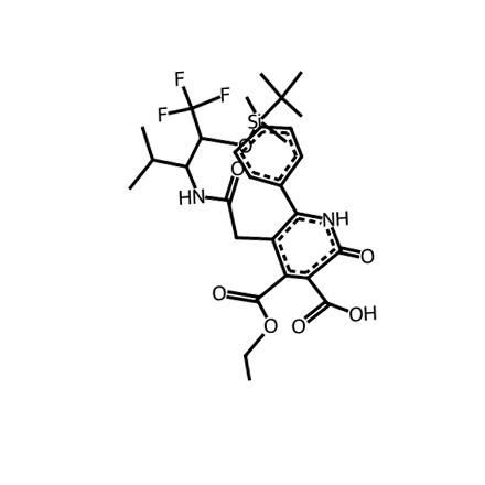 CCOC(=O)c1c(CC(=O)NC(C(C)C)C(O[Si](C)(C)C(C)(C)C)C(F)(F)F)c(-c2ccccc2)[nH]c(=O)c1C(=O)O